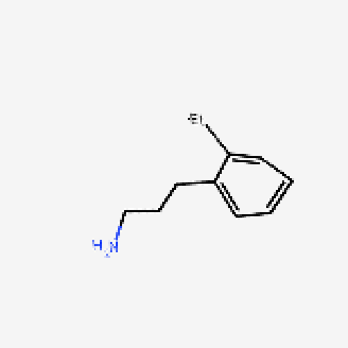 C[CH]c1ccccc1CCCN